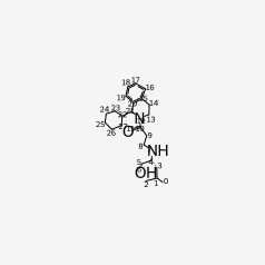 CC(C)C[C@H](CO)NCCC(=O)N1CCc2ccccc2C1C1CCCCC1